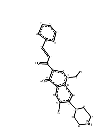 CCn1cc(C(=O)C=Cc2ccccc2)c(=O)c2cc(F)c(N3CCNCC3)cc21